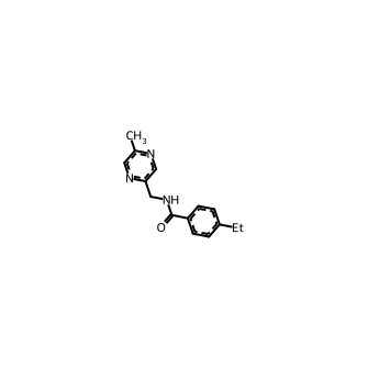 CCc1ccc(C(=O)NCc2cnc(C)cn2)cc1